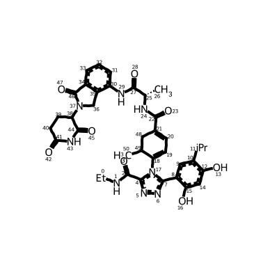 CCNC(=O)c1nnc(-c2cc(C(C)C)c(O)cc2O)n1C1=CC=C(C(=O)N[C@@H](C)C(=O)Nc2cccc3c2CN(C2CCC(=O)NC2=O)C3=O)CC1C